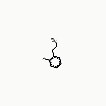 CCC(C)CCc1ccc[c]c1F